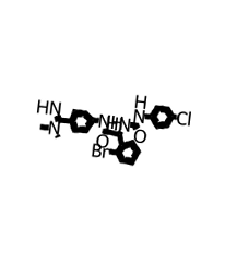 CN(C)C(=N)c1ccc(NC(=O)C(NC(=O)Nc2ccc(Cl)cc2)c2ccccc2Br)cc1